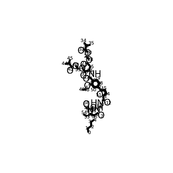 CCCCC[C@@H](C(=O)NCNC(=O)c1ccc(-c2ccc(C(=O)NC(CC(=O)OCOC(=O)C(C)C)C(=O)OCOC(=O)C(C)C)c(OCC)c2)o1)[C@@H](CC)N(O)C=O